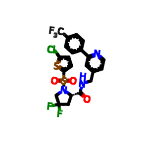 O=C(NCc1ccnc(-c2ccc(C(F)(F)F)cc2)c1)[C@@H]1CC(F)(F)CN1S(=O)(=O)c1ccc(Cl)s1